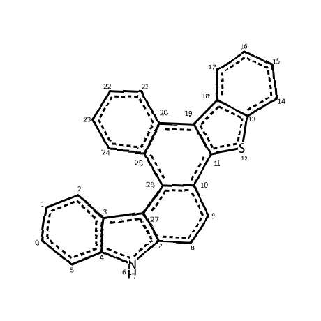 c1ccc2c(c1)[nH]c1ccc3c4sc5ccccc5c4c4ccccc4c3c12